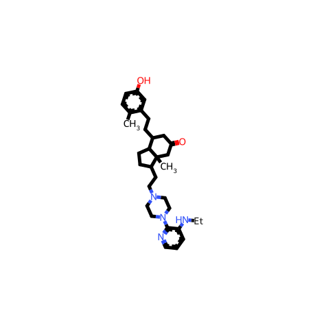 CCNc1cccnc1N1CCN(CCC2CCC3C(CCc4cc(O)ccc4C)CC(=O)CC23C)CC1